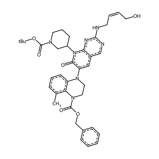 Cc1cccc2c1N(C(=O)OCc1ccccc1)CCN2c1cc2cnc(NC/C=C\CO)nc2n(C2CCCN(C(=O)OC(C)(C)C)C2)c1=O